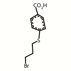 O=C(O)c1ccc(SCCCBr)cc1